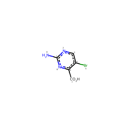 Nc1ncc(Br)c(C(=O)O)n1